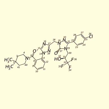 CC1(C)CCN(C(=O)c2ccccc2-n2cnc(Cn3nc(-c4ccc(Cl)cc4)n(C[C@H](O)C(F)(F)F)c3=O)n2)CC1